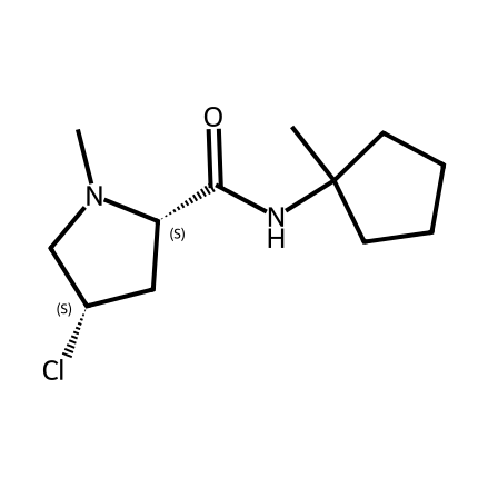 CN1C[C@@H](Cl)C[C@H]1C(=O)NC1(C)CCCC1